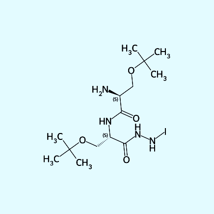 CC(C)(C)OC[C@H](NC(=O)[C@@H](N)COC(C)(C)C)C(=O)NNI